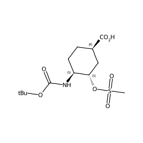 CC(C)(C)OC(=O)N[C@H]1CC[C@@H](C(=O)O)C[C@@H]1OS(C)(=O)=O